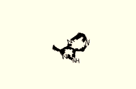 Cc1n[nH]c2cncnc12